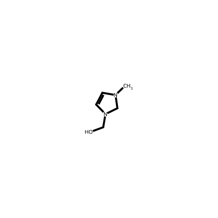 CN1C=CN(CO)C1